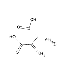 C=C(CC(=O)O)C(=O)O.[AlH3].[Zr]